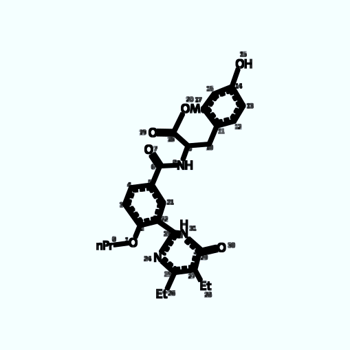 CCCOc1ccc(C(=O)NC(Cc2ccc(O)cc2)C(=O)OC)cc1-c1nc(CC)c(CC)c(=O)[nH]1